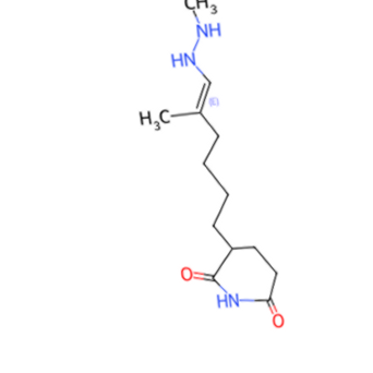 CNN/C=C(\C)CCCCC1CCC(=O)NC1=O